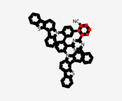 N#Cc1ccccc1-c1ccc(-n2c3ccccc3c3c4sc5ccccc5c4ccc32)c(-c2cccc(-n3c4ccccc4c4c5sc6ccccc6c5ccc43)c2-c2nc(-c3ccccc3)nc(-c3ccccc3)n2)c1